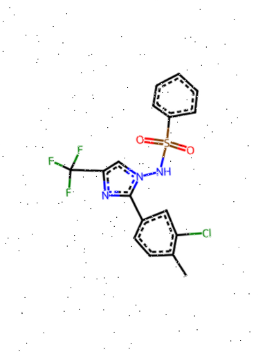 Cc1ccc(-c2nc(C(F)(F)F)cn2NS(=O)(=O)c2ccccc2)cc1Cl